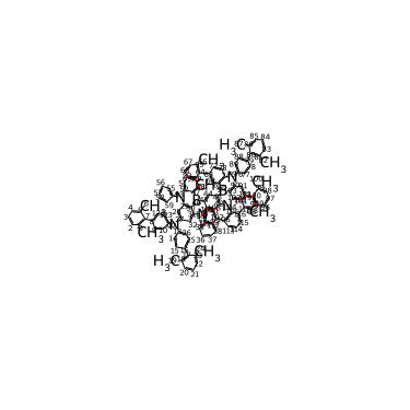 Cc1cccc(C)c1-c1ccc(N(c2ccc(-c3c(C)cccc3C)cc2)c2cc3c4c(c2)N(c2ccccc2)c2cc5c(cc2B4c2ccccc2N3c2ccccc2)B2c3cc(-c4c(C)cccc4C)ccc3N(c3ccc(-c4c(C)cccc4C)cc3)c3cc(-c4c(C)cccc4C)cc(c32)N5c2c(-c3ccccc3)cccc2-c2ccccc2)cc1